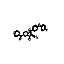 NOC(=O)[C@H]1CN(C(=O)N2CCOCC2)CCN1S(=O)(=O)c1ccc(Oc2ccc(F)cc2)cc1